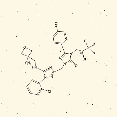 CC1(CNc2nc(Cn3nc(-c4ccc(Cl)cc4)n(C[C@H](O)C(F)(F)F)c3=O)nn2-c2ccccc2Cl)COC1